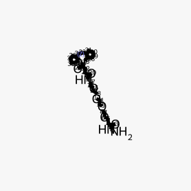 NNC(=O)CCOCCOCCOCCOCCNC(=O)CCC(=O)N1Cc2ccccc2/C=C\c2ccccc21